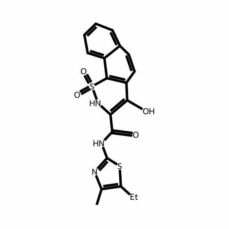 CCc1sc(NC(=O)C2=C(O)c3ccc4ccccc4c3S(=O)(=O)N2)nc1C